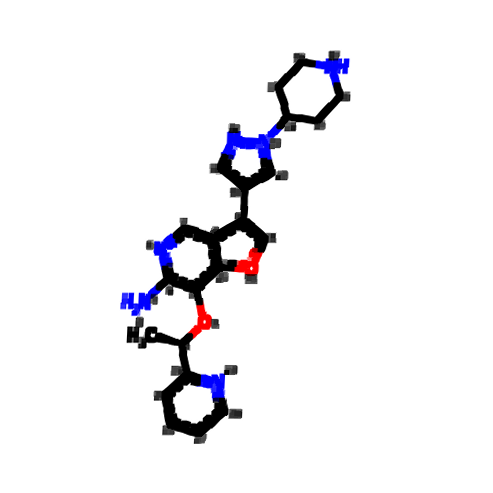 C[C@@H](Oc1c(N)ncc2c(-c3cnn(C4CCNCC4)c3)coc12)c1ccccn1